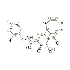 Cc1ccc(CNC(=O)c2cn3c(c(O)c2=O)C(=O)N2CC/C=C\CC3C2)c(F)c1